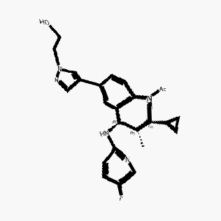 CC(=O)N1c2ccc(-c3cnn(CCO)c3)cc2[C@H](Nc2ccc(F)cn2)[C@@H](C)[C@@H]1C1CC1